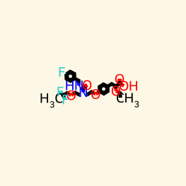 CCOC(Cc1ccc(OCCN(CCOCC(C)(F)F)C(=O)NCc2ccc(F)cc2)cc1)C(=O)O